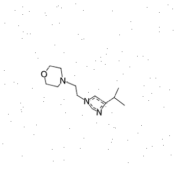 CC(C)c1cn(CCN2CCOCC2)cn1